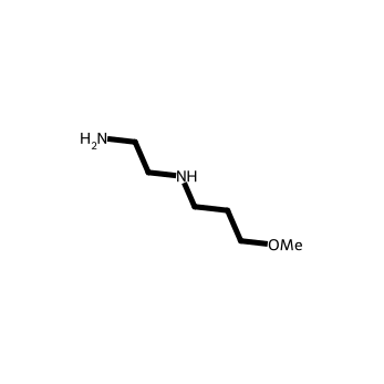 COCCCNCCN